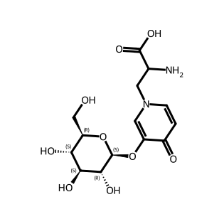 NC(Cn1ccc(=O)c(O[C@@H]2O[C@H](CO)[C@@H](O)[C@H](O)[C@H]2O)c1)C(=O)O